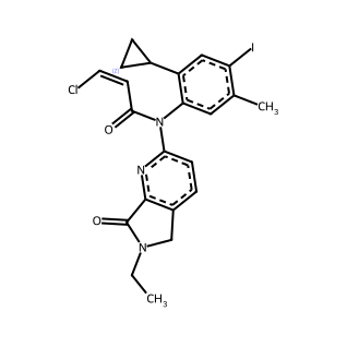 CCN1Cc2ccc(N(C(=O)/C=C\Cl)c3cc(C)c(I)cc3C3CC3)nc2C1=O